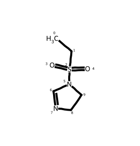 CCS(=O)(=O)N1C=NCC1